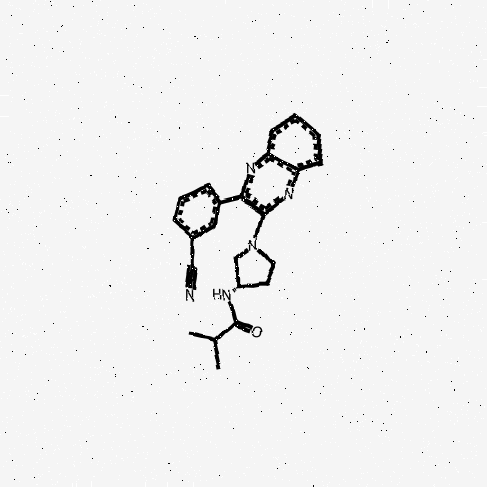 CC(C)C(=O)N[C@H]1CCN(c2nc3ccccc3nc2-c2cccc(C#N)c2)C1